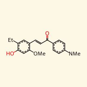 CCc1cc(C=CC(=O)c2ccc(NC)cc2)c(OC)cc1O